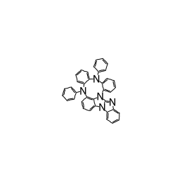 c1ccc(-n2c3ccccc3n(-c3ccccc3)c3cccc4c3n(c3ccccc32)c2nc3ccccc3n42)cc1